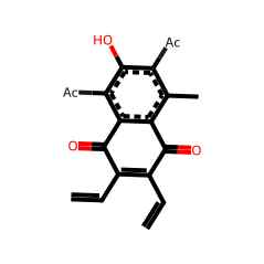 C=CC1=C(C=C)C(=O)c2c(c(C)c(C(C)=O)c(O)c2C(C)=O)C1=O